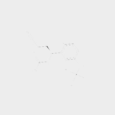 N#CCC[C@H](OC(N)=O)c1cccc(OC(F)(F)F)c1